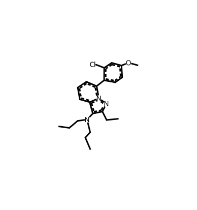 CCCN(CCC)c1c(CC)nn2c(-c3ccc(OC)cc3Cl)cccc12